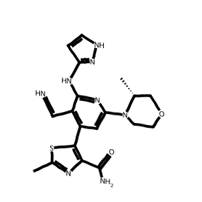 Cc1nc(C(N)=O)c(-c2cc(N3CCOC[C@H]3C)nc(Nc3cc[nH]n3)c2C=N)s1